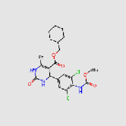 CCC1=C(C(=O)OCC2CCCCC2)C(c2cc(Cl)c(NC(=O)OC(C)(C)C)c(Cl)c2)NC(=O)N1